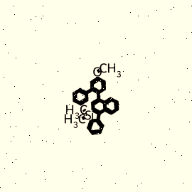 COc1ccc(-c2cc3c(c4ccccc24)-c2ccccc2[Si]3(C)C)c(-c2ccccc2)c1